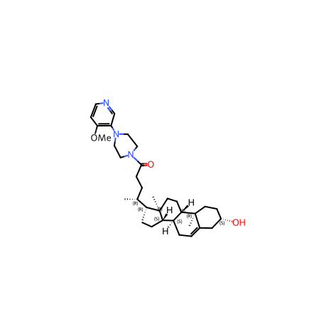 COc1ccncc1N1CCN(C(=O)CC[C@@H](C)[C@H]2CC[C@H]3[C@@H]4CC=C5C[C@@H](O)CC[C@]5(C)[C@H]4CC[C@]23C)CC1